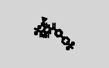 CS(=O)(=O)c1n[nH]c2nc(Nc3ccc(N4CCN(S(C)(=O)=O)CC4)cc3)nc(NC3CC3)c12